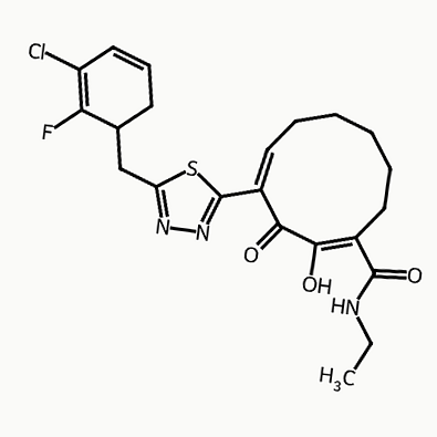 CCNC(=O)/C1=C(\O)C(=O)/C(c2nnc(CC3CC=CC(Cl)=C3F)s2)=C\CCCCC1